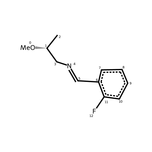 CO[C@H](C)CN=Cc1ccccc1F